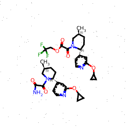 C[C@H]1CC[C@H](c2ccnc(OC3CC3)c2)N(C(=O)C(=O)OCC(F)(F)F)C1.C[C@H]1CC[C@H](c2ccnc(OC3CC3)c2)N(C(=O)C(N)=O)C1